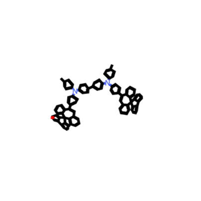 Cc1ccc(N(c2ccc(C3=Cc4ccccc4C4(c5ccccc53)c3ccccc3-c3ccccc34)cc2)c2ccc(-c3ccc(N(c4ccc(C)cc4)c4ccc(C5=Cc6ccccc6C6(c7ccccc75)c5ccccc5-c5ccccc56)cc4)cc3)cc2)cc1